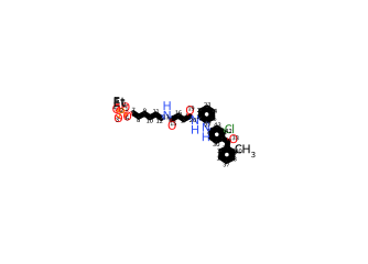 CCOP(=O)(OCC)OCCCCCCNC(=O)CCC(=O)Nc1ccccc1Nc1ccc(C(=O)c2ccccc2C)c(Cl)c1